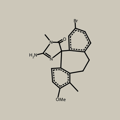 COc1ccc2c(c1C)CCc1ccc(Br)cc1C21N=C(N)N(C)C1=O